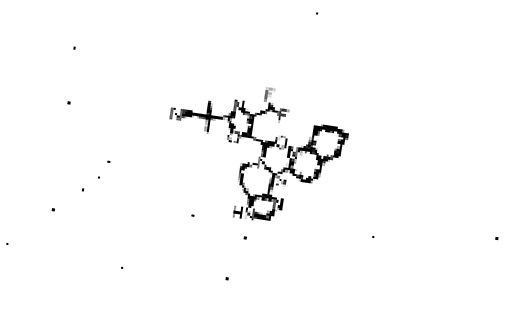 CC(C)(C#N)c1nc(C(F)F)c(C(=O)N2CCc3[nH]cnc3[C@@H]2c2ccc3ccccc3n2)o1